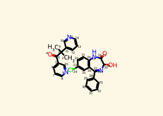 CC(C)(C(=O)c1cccnc1)c1cccnc1.O=C1Nc2ccc(Cl)cc2C(c2ccccc2)=NC1O